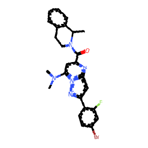 CC1c2ccccc2CCN1C(=O)c1cc(N(C)C)n2nc(-c3ccc(Br)cc3F)cc2n1